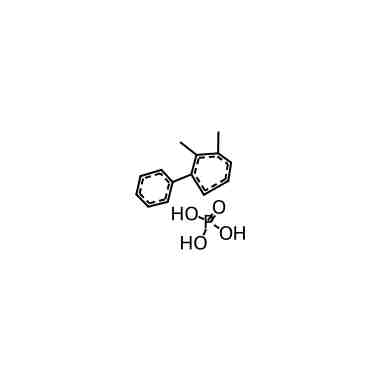 Cc1cccc(-c2ccccc2)c1C.O=P(O)(O)O